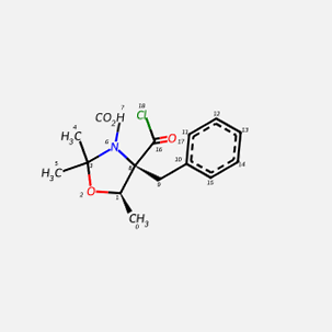 C[C@H]1OC(C)(C)N(C(=O)O)[C@]1(Cc1ccccc1)C(=O)Cl